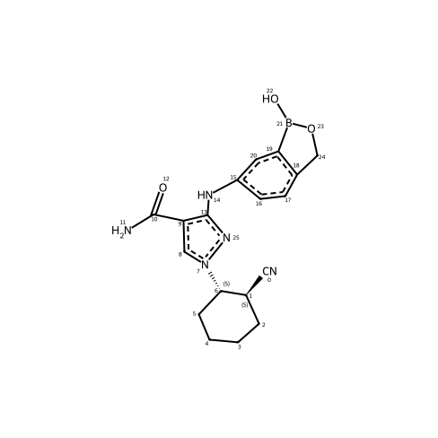 N#C[C@H]1CCCC[C@@H]1n1cc(C(N)=O)c(Nc2ccc3c(c2)B(O)OC3)n1